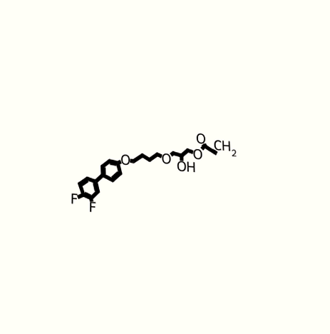 C=CC(=O)OCC(O)COCCCCOc1ccc(-c2ccc(F)c(F)c2)cc1